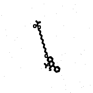 C=C(C)C(=O)OCCCCCCCCCCCCOc1ccc2cc(-c3ccccc3)c(=S)n(C(C)C)c2c1